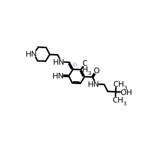 CC1=C(C(=O)NCCC(C)(C)O)C=CC(=N)/C1=C\NCC1CCNCC1